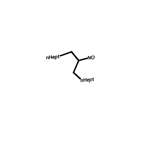 CCCCCCCCC(CCCCCCCC)N=O